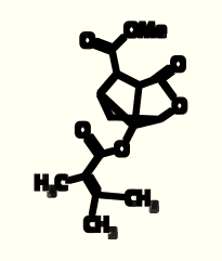 COC(=O)C1C2CC3C(OC(=O)C31)C2OC(=O)C(C)=C(C)C